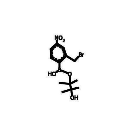 CC(C)(O)C(C)(C)OB(O)c1ccc([N+](=O)[O-])cc1CBr